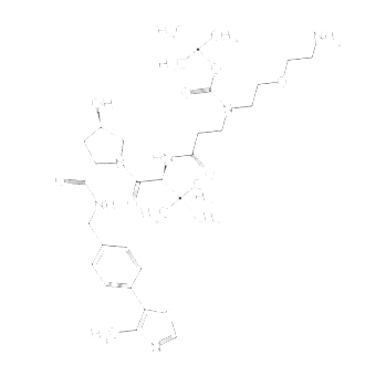 Cc1ncsc1-c1ccc(CNC(=O)[C@@H]2C[C@@H](O)CN2C(=O)[C@@H](NC(=O)CCN(CCOCCN)C(=O)OC(C)(C)C)C(C)(C)C)cc1